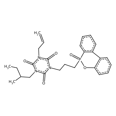 C=CCn1c(=O)n(CCCP2(=O)Oc3ccccc3-c3ccccc32)c(=O)n(CC(C)CC)c1=O